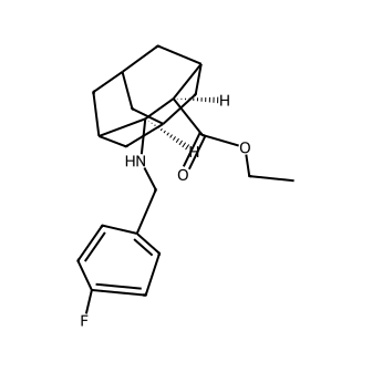 CCOC(=O)[C@@H]1C2CC3CC(C2)CC(C3)[C@@H]1NCc1ccc(F)cc1